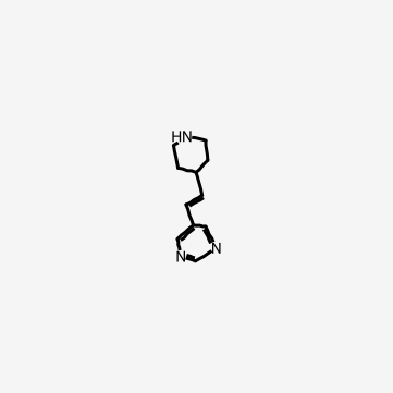 C(=CC1CCNCC1)c1cncnc1